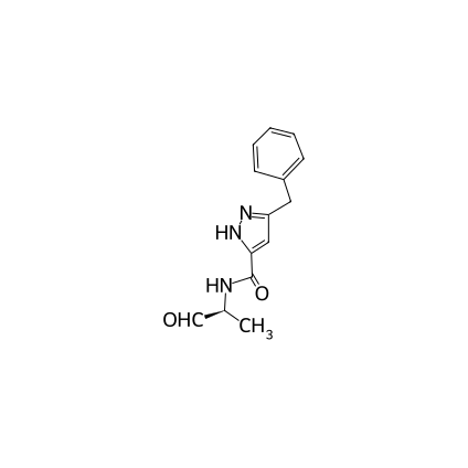 C[C@@H](C=O)NC(=O)c1cc(Cc2ccccc2)n[nH]1